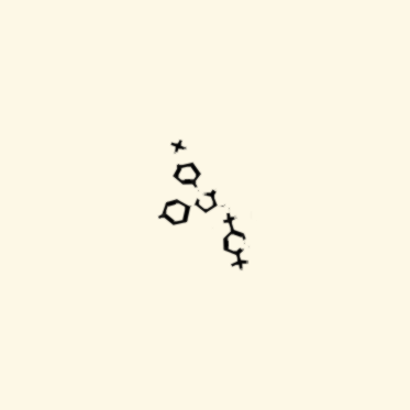 CC(C)(N[C@H]1C[C@@H](c2ccc(F)cc2)N(c2ccc(OC(F)(F)F)cc2)C1=O)c1ccc(C(F)(F)F)nc1